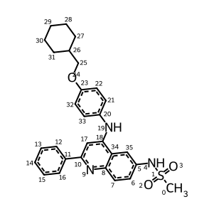 CS(=O)(=O)Nc1ccc2nc(-c3ccccc3)cc(Nc3ccc(OCC4CCCCC4)cc3)c2c1